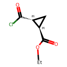 CCOC(=O)[C@@H]1C[C@H]1C(=O)Cl